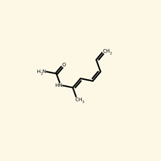 C=C/C=C\C=C(/C)NC(N)=O